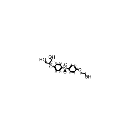 O=S(=O)(c1ccc(OCCO)cc1)c1ccc(OC(CO)CO)cc1